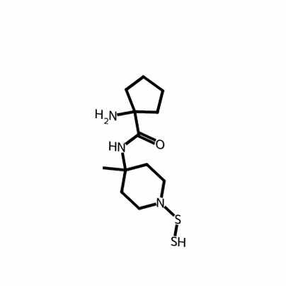 CC1(NC(=O)C2(N)CCCC2)CCN(SS)CC1